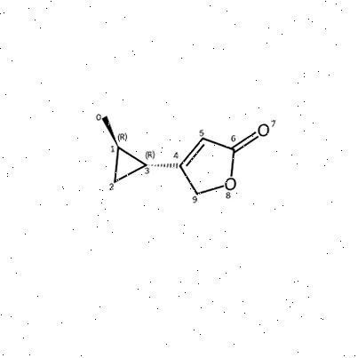 C[C@@H]1C[C@H]1C1=CC(=O)OC1